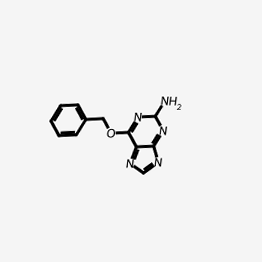 N[C]1N=C2N=CN=C2C(OCc2ccccc2)=N1